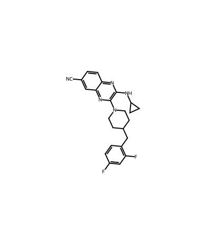 N#Cc1ccc2nc(NC3CC3)c(N3CCC(Cc4ccc(F)cc4F)CC3)nc2c1